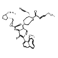 COC/C=C/C(=O)N1CCN(c2nc(OC[C@@H]3CCCN3C)nc3c(F)c(-c4cccc5cccc(C)c45)ncc23)C[C@@H]1CC#N